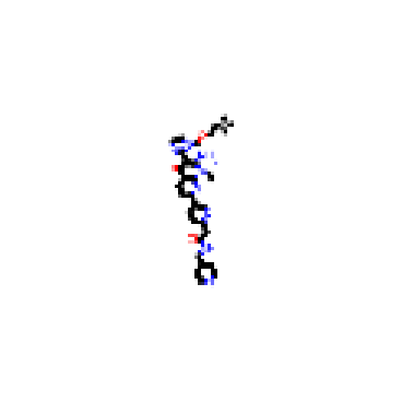 CCn1c(N)c(-c2nccn2COCC[Si](C)(C)C)c(=O)c2ccc(-c3ccc(CC(=O)NCc4ccncc4)nc3)nc21